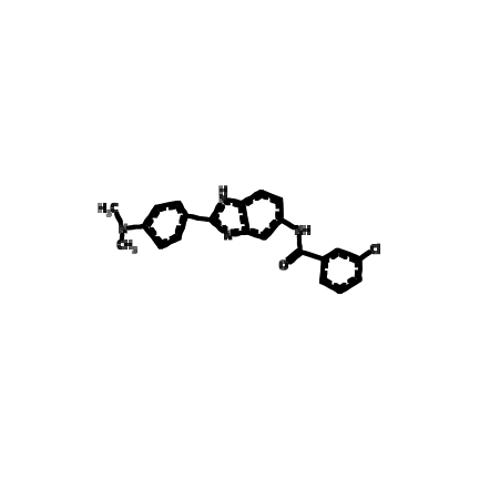 CN(C)c1ccc(-c2nc3cc(NC(=O)c4cccc(Cl)c4)ccc3[nH]2)cc1